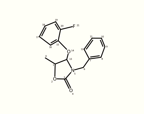 CC1OC(=O)N(Cc2ccccc2)C1Oc1ccccc1F